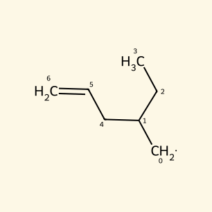 [CH2]C(CC)CC=C